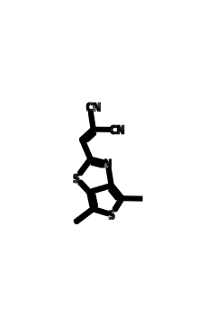 Cc1sc(C)c2sc(C=C(C#N)C#N)nc12